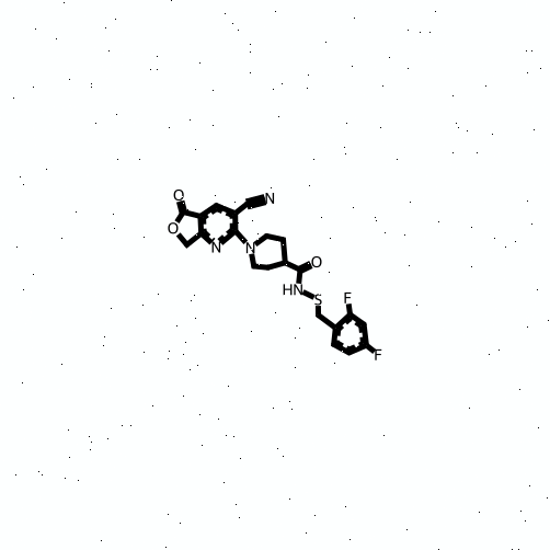 N#Cc1cc2c(nc1N1CCC(C(=O)NSCc3ccc(F)cc3F)CC1)COC2=O